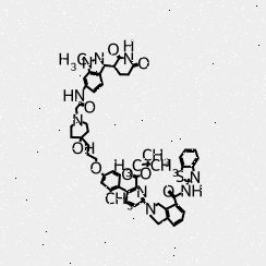 Cc1cc(OCCCC2(O)CCN(CC(=O)Nc3ccc4c(C5CCC(=O)NC5=O)nn(C)c4c3)CC2)ccc1-c1ccc(N2CCc3cccc(C(=O)Nc4nc5ccccc5s4)c3C2)nc1C(=O)OC(C)(C)C